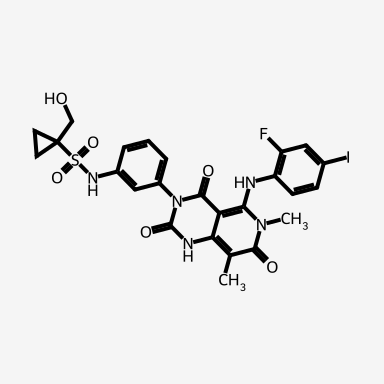 Cc1c(=O)n(C)c(Nc2ccc(I)cc2F)c2c(=O)n(-c3cccc(NS(=O)(=O)C4(CO)CC4)c3)c(=O)[nH]c12